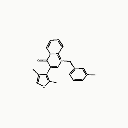 Cc1noc(C)c1-c1c[n+](Cc2cccc(F)c2)c2ccccn2c1=O